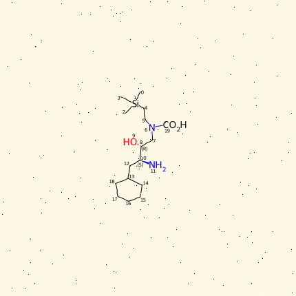 C[Si](C)(C)CCN(C[C@@H](O)[C@@H](N)CC1CCCCC1)C(=O)O